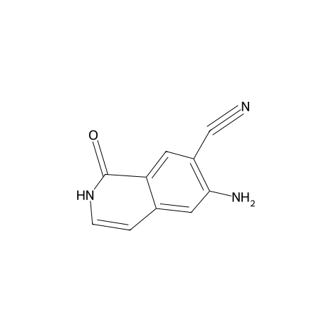 N#Cc1cc2c(=O)[nH]ccc2cc1N